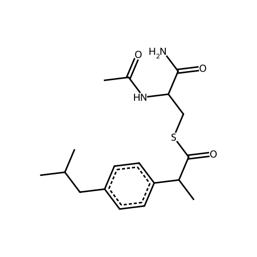 CC(=O)NC(CSC(=O)C(C)c1ccc(CC(C)C)cc1)C(N)=O